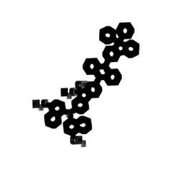 Cc1ccc(N(c2ccc3c(c2)C(C)(C)c2cc(-c4c5ccccc5c(-c5ccc6c(c5)-c5ccccc5C6(c5ccccc5)c5ccccc5)c5ccccc45)ccc2-3)c2ccc(C)c3ccccc23)c2ccccc12